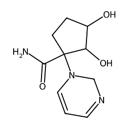 NC(=O)C1(N2C=CC=NC2)CCC(O)C1O